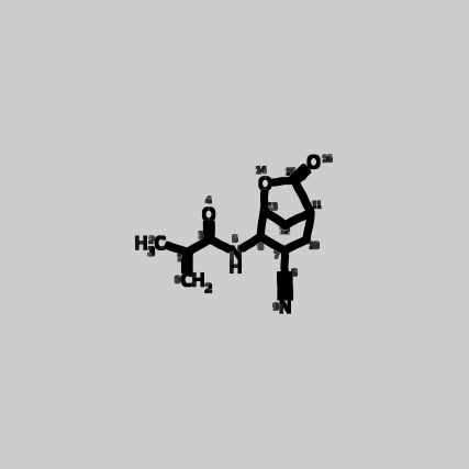 C=C(C)C(=O)NC1C(C#N)CC2CC1OC2=O